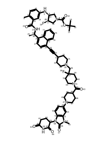 Cc1ccc(N[C@H]2CN(C(=O)OC(C)(C)C)C[C@H]2F)cc1C(=O)N[C@H](C)c1ccc(C#CC2CCN(CC3(F)CCN(C(=O)C4CCN(c5ccc6c(c5)n(C)c(=O)n6C5CCC(=O)NC5=O)CC4)CC3)CC2)c2ccccc12